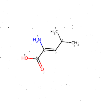 CC(C)/C=C(\N)C(=O)O